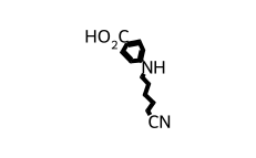 N#CCCCCCNc1ccc(C(=O)O)cc1